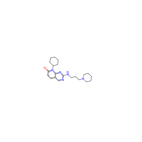 O=c1ccc2cnc(NCCCN3CCCCC3)nc2n1C1CCCCC1